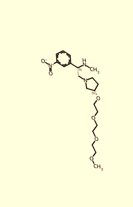 CN[C@H](CN1CC[C@H](OCCOCCOCCOC)C1)c1cccc([N+](=O)[O-])c1